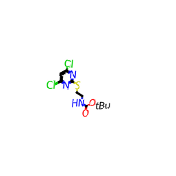 CC(C)(C)OC(=O)NCCSc1nc(Cl)cc(Cl)n1